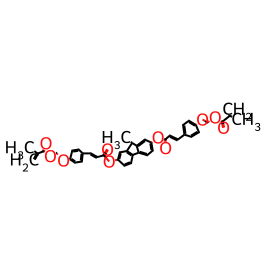 C=C(C)C(=O)OCOc1ccc(C=CC(=O)Oc2ccc3c(c2)C(C)c2cc(OC(=O)C=Cc4ccc(OCOC(=O)C(=C)C)cc4)ccc2-3)cc1